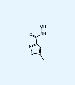 Cc1cc(C(=O)NO)no1